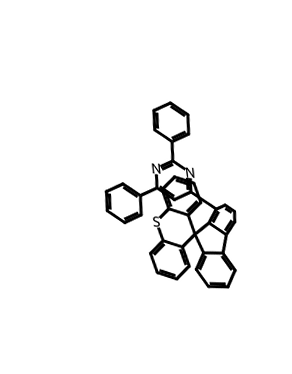 c1ccc(-c2cc(-c3cccc4c3C3(c5ccccc5Sc5ccccc53)c3ccccc3-4)nc(-c3ccccc3)n2)cc1